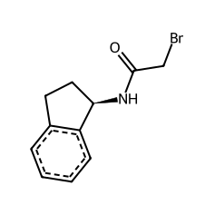 O=C(CBr)N[C@@H]1CCc2ccccc21